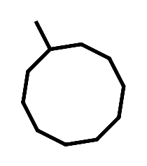 CC1CCCCCCCCC1